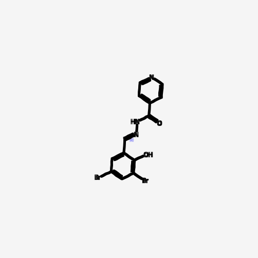 O=C(N/N=C/c1cc(Br)cc(Br)c1O)c1ccncc1